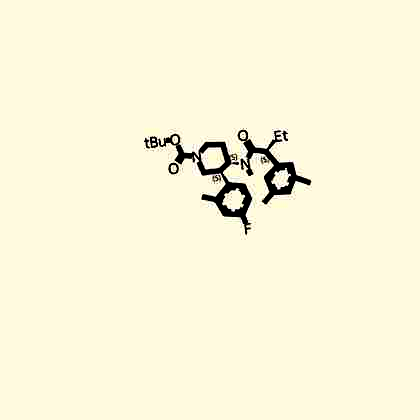 CC[C@H](C(=O)N(C)[C@H]1CCN(C(=O)OC(C)(C)C)C[C@@H]1c1ccc(F)cc1C)c1cc(C)cc(C)c1